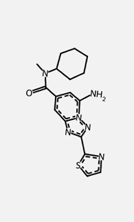 CN(C(=O)c1cc(N)n2nc(-c3nccs3)nc2c1)C1CCCCC1